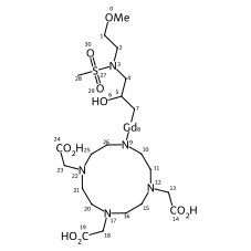 COCCN(CC(O)[CH2][Gd][N]1CCN(CC(=O)O)CCN(CC(=O)O)CCN(CC(=O)O)CC1)S(C)(=O)=O